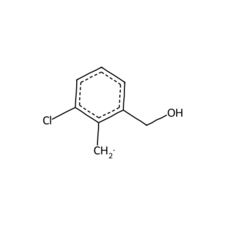 [CH2]c1c(Cl)cccc1CO